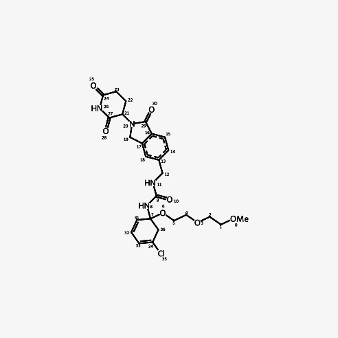 COCCOCCOC1(NC(=O)NCc2ccc3c(c2)CN(C2CCC(=O)NC2=O)C3=O)C=CC=C(Cl)C1